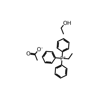 CC(=O)[O-].CCO.CC[P+](c1ccccc1)(c1ccccc1)c1ccccc1